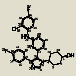 O[C@H]1CC[C@@H](n2cnc(-c3ccc(F)cc3)c2-c2ccnc(Nc3ccc(F)cc3Cl)n2)CC1